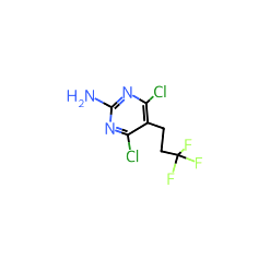 Nc1nc(Cl)c(CCC(F)(F)F)c(Cl)n1